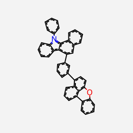 c1ccc(-n2c3ccccc3c3c(-c4cccc(-c5ccc6c7c(cccc57)-c5ccccc5O6)c4)cc4ccccc4c32)cc1